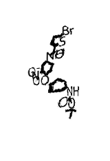 CC(C)(C)OC(=O)Nc1ccc(Oc2ccc(NC(=O)c3ccc(Br)s3)cc2[N+](=O)[O-])cc1